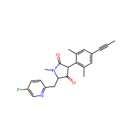 CC#Cc1cc(C)c(C2C(=O)C(Cc3ccc(F)cn3)N(C)C2=O)c(C)c1